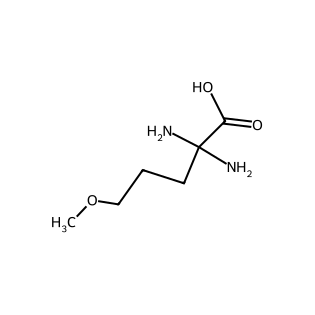 COCCCC(N)(N)C(=O)O